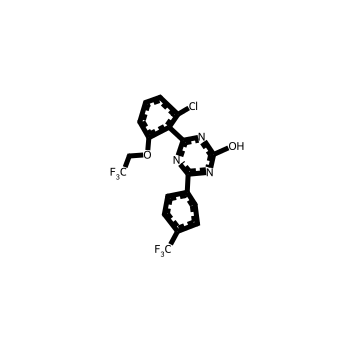 Oc1nc(-c2ccc(C(F)(F)F)cc2)nc(-c2c(Cl)cccc2OCC(F)(F)F)n1